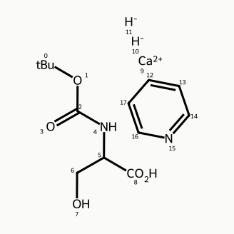 CC(C)(C)OC(=O)NC(CO)C(=O)O.[Ca+2].[H-].[H-].c1ccncc1